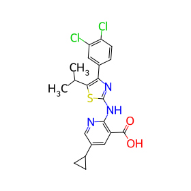 CC(C)c1sc(Nc2ncc(C3CC3)cc2C(=O)O)nc1-c1ccc(Cl)c(Cl)c1